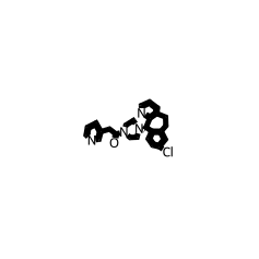 O=C(Cc1cccnc1)N1CCN([C@@H]2c3ccc(Cl)cc3CCc3cccnc32)CC1